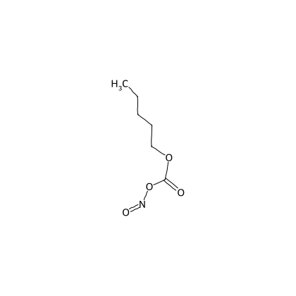 CCCCCOC(=O)ON=O